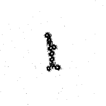 c1ccc(-c2nc(-c3ccccc3)nc(-c3ccc(-c4ccc(-c5ccc(-c6nc7cc8c(cc7o6)oc6ccccc68)c6ccccc56)cc4)cc3)n2)cc1